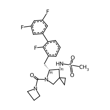 CS(=O)(=O)N[C@H]1[C@@H](Cc2cccc(-c3cc(F)cc(F)c3)c2F)N(C(=O)N2CCC2)CC12CC2